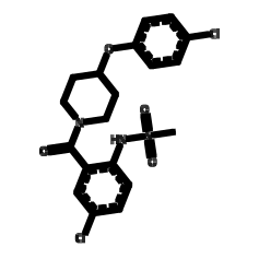 CS(=O)(=O)Nc1ccc(Cl)cc1C(=O)N1CCC(Oc2ccc(Cl)cc2)CC1